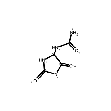 NC(=O)NC1NC(=O)[N]C1=O